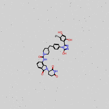 CC(C)c1cc(-c2nnc(O)n2-c2ccc(CC3CCN(C(=O)Nc4cccc5c4CN([C@@H]4CCC(=O)NC4=O)C5=O)CC3)cc2)c(O)cc1O